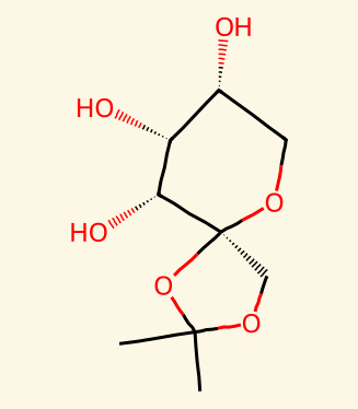 CC1(C)OC[C@]2(OC[C@@H](O)[C@@H](O)[C@H]2O)O1